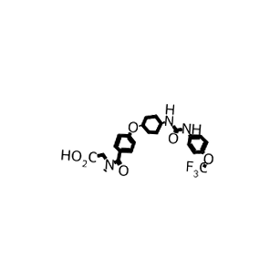 CN(CC(=O)O)C(=O)c1ccc(O[C@H]2CC[C@H](NC(=O)Nc3ccc(OC(F)(F)F)cc3)CC2)cc1